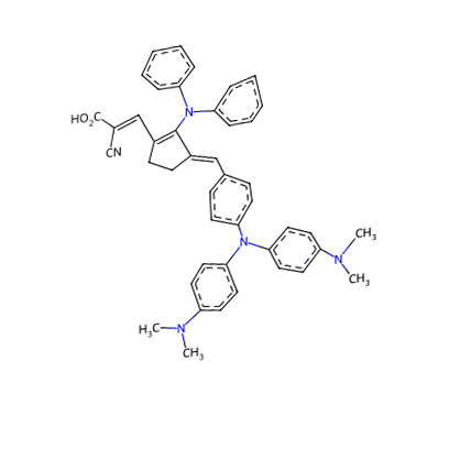 CN(C)c1ccc(N(c2ccc(/C=C3\CCC(/C=C(\C#N)C(=O)O)=C3N(c3ccccc3)c3ccccc3)cc2)c2ccc(N(C)C)cc2)cc1